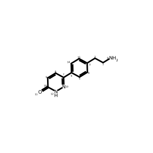 NCCc1ccc(-c2ccc(=O)[nH]n2)cc1